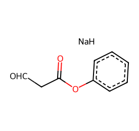 O=CCC(=O)Oc1ccccc1.[NaH]